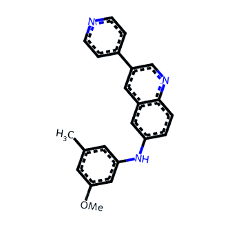 COc1cc(C)cc(Nc2ccc3ncc(-c4ccncc4)cc3c2)c1